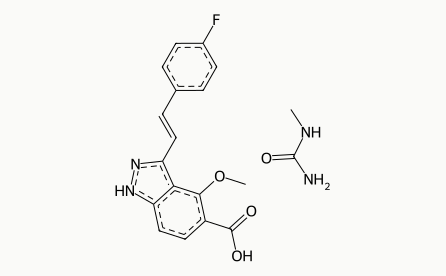 CNC(N)=O.COc1c(C(=O)O)ccc2[nH]nc(/C=C/c3ccc(F)cc3)c12